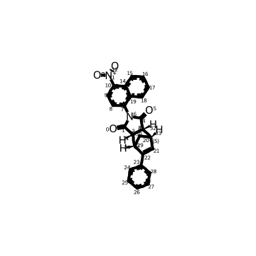 O=C1[C@@H]2[C@H](C(=O)N1c1ccc([N+](=O)[O-])c3ccccc13)[C@@H]1C=C(c3ccccc3)[C@H]2C1